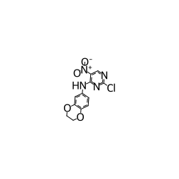 O=[N+]([O-])c1cnc(Cl)nc1Nc1ccc2c(c1)OCCO2